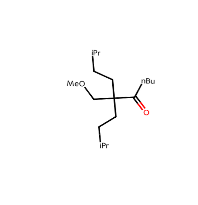 CCCCC(=O)C(CCC(C)C)(CCC(C)C)COC